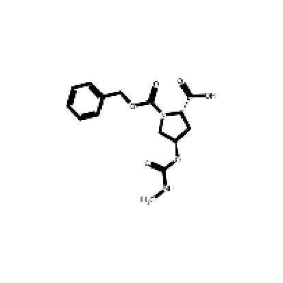 CNC(=O)O[C@@H]1C[C@@H](C(=O)O)N(C(=O)OCc2ccccc2)C1